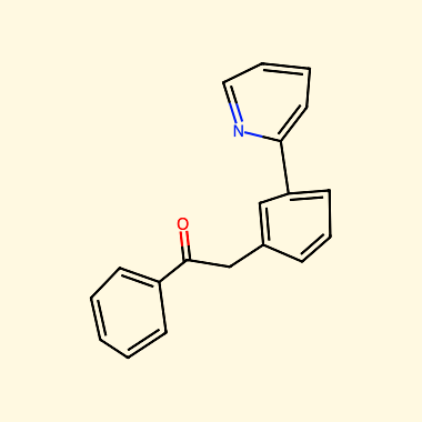 O=C(Cc1cccc(-c2ccccn2)c1)c1ccccc1